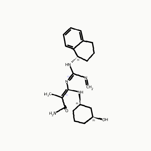 C=N/C(=N\C(N[C@@H]1CCC[C@H](O)C1)=C(/C)C(N)=O)N[C@H]1CCCc2ccccc21